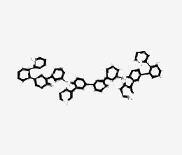 c1ccc(-c2ccccc2-c2ccc3oc4c(-n5c6ccncc6c6cc(-c7ccc8oc9c(-n%10c%11ccncc%11c%11cc(-c%12ccccc%12-c%12ccccn%12)ccc%11%10)cccc9c8c7)ccc65)cccc4c3c2)nc1